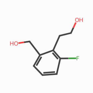 OCCc1c(F)cccc1CO